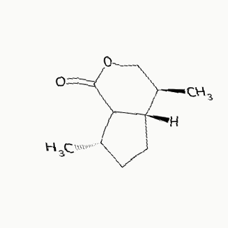 C[C@@H]1COC(=O)C2[C@H]1CC[C@@H]2C